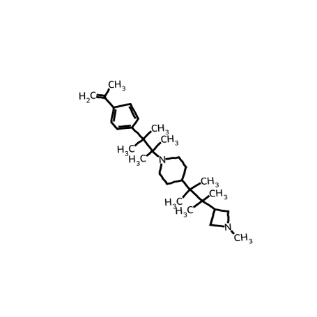 C=C(C)c1ccc(C(C)(C)C(C)(C)N2CCC(C(C)(C)C(C)(C)C3CN(C)C3)CC2)cc1